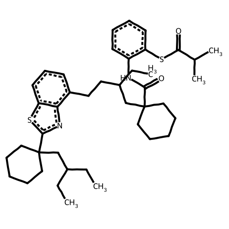 CCC(CCc1cccc2sc(C3(CC(CC)CC)CCCCC3)nc12)CC1(C(=O)Nc2ccccc2SC(=O)C(C)C)CCCCC1